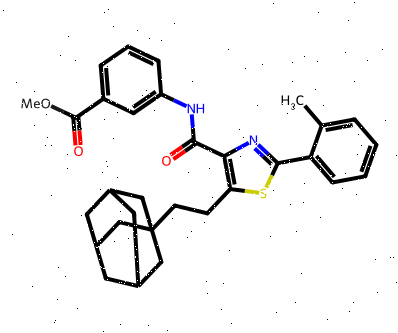 COC(=O)c1cccc(NC(=O)c2nc(-c3ccccc3C)sc2CCC23CC4CC(CC(C4)C2)C3)c1